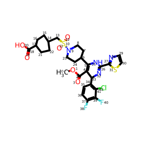 COC(=O)C1=C(C2CCN(S(=O)(=O)CC3CCC(C(=O)O)CC3)CC2)NC(c2nccs2)=NC1c1ccc(F)c(F)c1Cl